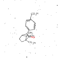 CC1(C)C2CCC1(C(=O)O)C(=O)C2c1ccc(C(=O)O)cc1